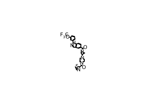 O=C(c1ccc2c(cnn2-c2cccc(OC(F)(F)F)c2)c1)N1CC(N2CCN(C(=O)c3nccs3)CC2)C1